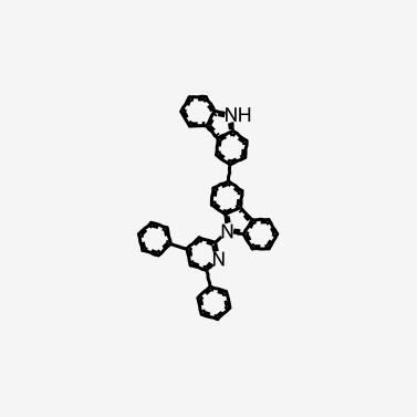 c1ccc(-c2cc(-c3ccccc3)nc(-n3c4ccccc4c4cc(-c5ccc6[nH]c7ccccc7c6c5)ccc43)c2)cc1